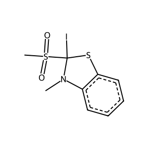 CN1c2ccccc2SC1(I)S(C)(=O)=O